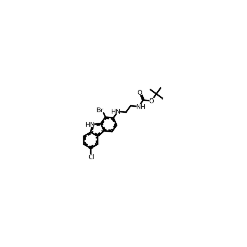 CC(C)(C)OC(=O)NCCNc1ccc2c([nH]c3ccc(Cl)cc32)c1Br